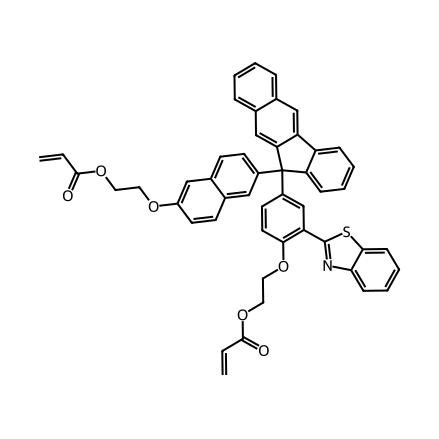 C=CC(=O)OCCOc1ccc2cc(C3(c4ccc(OCCOC(=O)C=C)c(-c5nc6ccccc6s5)c4)c4ccccc4-c4cc5ccccc5cc43)ccc2c1